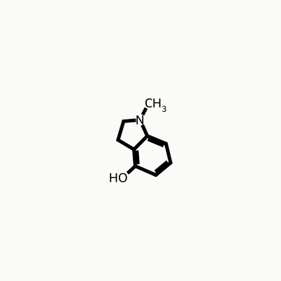 CN1CCc2c(O)cccc21